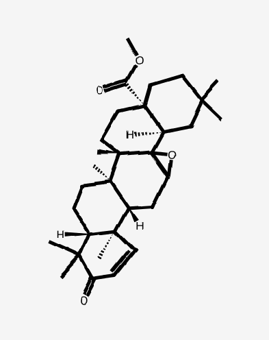 COC(=O)[C@]12CCC(C)(C)C[C@H]1C13OC1C[C@@H]1[C@@]4(C)C=CC(=O)C(C)(C)[C@@H]4CC[C@@]1(C)[C@]3(C)CC2